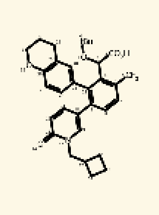 CC(C)(C)OC(C(=O)O)c1c(C(F)(F)F)ccc(-c2ccc(=O)n(CC3CCC3)c2)c1-c1ccc2c(c1)CCCO2